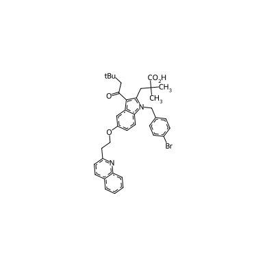 CC(C)(C)CC(=O)c1c(CC(C)(C)C(=O)O)n(Cc2ccc(Br)cc2)c2ccc(OCCc3ccc4ccccc4n3)cc12